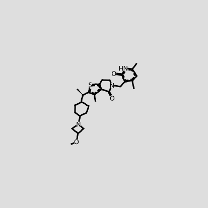 COC1CN(C2CCC([C@@H](C)c3sc4c(c3C)C(=O)N(Cc3c(C)cc(C)[nH]c3=O)CC4)CC2)C1